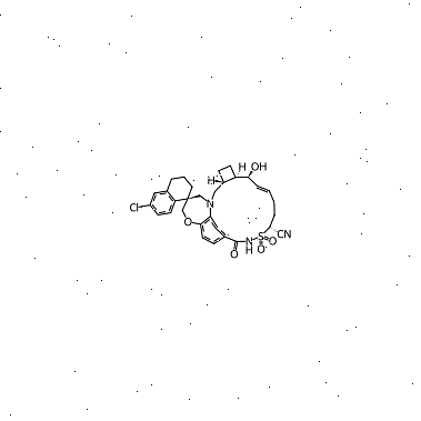 N#C[C@H]1CC/C=C/[C@H](O)[C@@H]2CC[C@H]2CN2C[C@@]3(CCCc4cc(Cl)ccc43)COc3ccc(cc32)C(=O)NS1(=O)=O